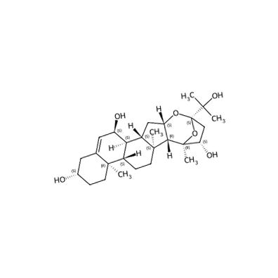 CC(C)(O)[C@]12C[C@H](O)[C@](C)(O1)[C@H]1[C@H](C[C@H]3[C@@H]4[C@H](O)C=C5C[C@@H](O)CC[C@]5(C)[C@H]4CC[C@@]31C)O2